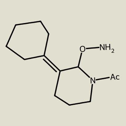 CC(=O)N1CCCC(=C2CCCCC2)C1ON